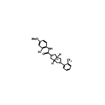 COc1ccc(NC(=O)N2C[C@@H]3CN(c4ccccc4C(F)(F)F)C[C@@H]3C2)c(C(C)=O)c1